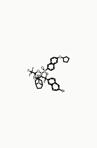 NC1CC2CCC(C1)N2C(=O)[C@@H](N(OC(=O)C(F)(F)F)S(=O)(=O)c1ccc2cc(OC3CCCC3)ccc2c1)C(F)(F)c1ccc2cc(Br)ccc2c1